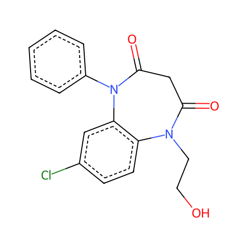 O=C1CC(=O)N(c2ccccc2)c2cc(Cl)ccc2N1CCO